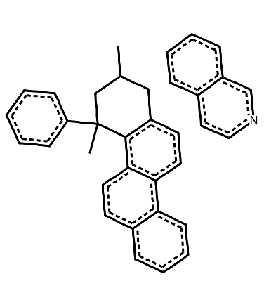 CC1Cc2ccc3c(ccc4ccccc43)c2C(C)(c2ccccc2)C1.c1ccc2cnccc2c1